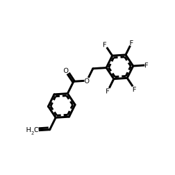 C=Cc1ccc(C(=O)OCc2c(F)c(F)c(F)c(F)c2F)cc1